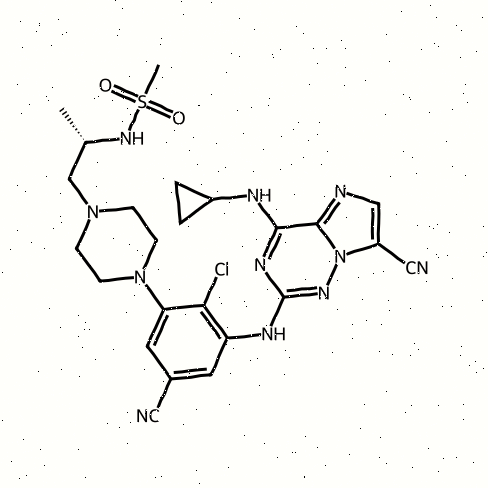 C[C@@H](CN1CCN(c2cc(C#N)cc(Nc3nc(NC4CC4)c4ncc(C#N)n4n3)c2Cl)CC1)NS(C)(=O)=O